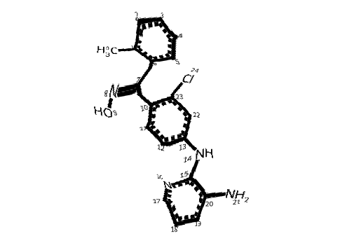 Cc1ccccc1C(=NO)c1ccc(Nc2ncccc2N)cc1Cl